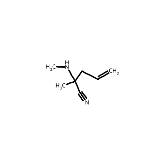 C=CCC(C)(C#N)NC